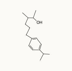 CC(C)c1ccc(CCCC(C)C(C)O)cc1